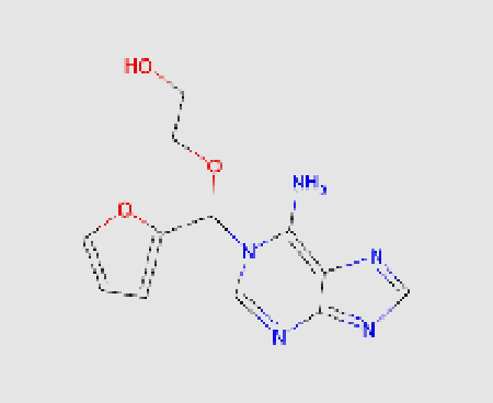 Nc1c2ncnc-2ncn1C(OCCO)c1ccco1